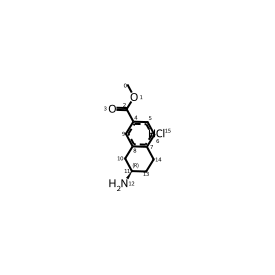 COC(=O)c1ccc2c(c1)C[C@H](N)CC2.Cl